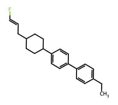 CCc1ccc(-c2ccc(C3CCC(CC=CF)CC3)cc2)cc1